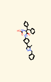 Cc1c(-c2ccc(NC(=O)C(NC(=O)O)C(c3ccccc3)c3ccccc3)cc2)cnn1Cc1ccccc1